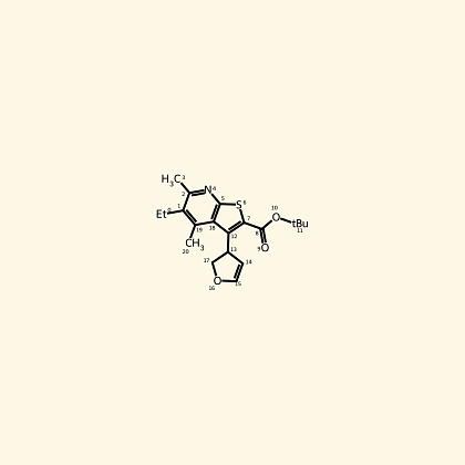 CCc1c(C)nc2sc(C(=O)OC(C)(C)C)c(C3C=COC3)c2c1C